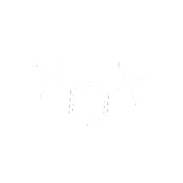 O=S(=O)(I)c1cccc(S(=O)(=O)I)c1